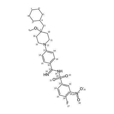 COC1(CC2CCCCC2)CCN(c2ccc(C(=N)NS(=O)(=O)c3ccc(F)c([N+](=O)[O-])c3)cc2)CC1